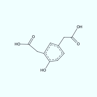 O=C(O)Cc1ccc(O)c(CC(=O)O)c1